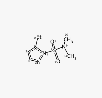 CCc1ccnn1S(=O)(=O)N(C)C